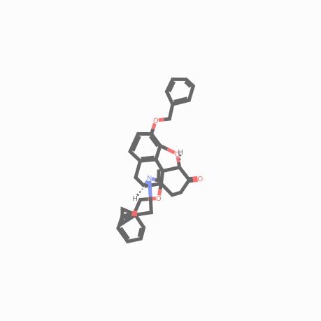 O=C1CCC2(OCc3ccccc3)[C@H]3Cc4ccc(OCc5ccccc5)c5c4[C@@]2(CCN3CC2CC2)[C@H]1O5